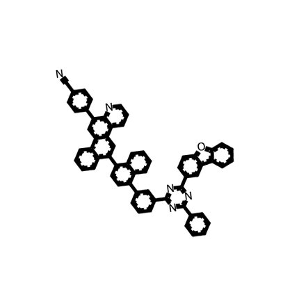 N#Cc1ccc(-c2cc3c4ccccc4c(-c4ccc(-c5cccc(-c6nc(-c7ccccc7)nc(-c7ccc8oc9ccccc9c8c7)n6)c5)c5ccccc45)cc3c3cccnc23)cc1